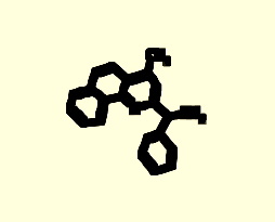 Cc1cc(C(N)c2ccccc2)nc2c1ccc1ccccc12